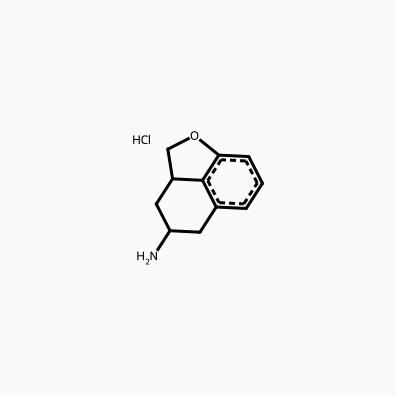 Cl.NC1Cc2cccc3c2C(CO3)C1